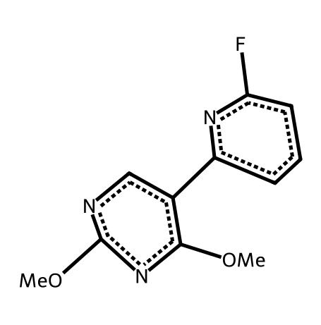 COc1ncc(-c2cccc(F)n2)c(OC)n1